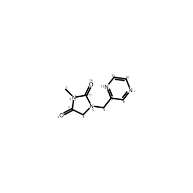 CN1C(=O)CN(Cc2cnccn2)C1=O